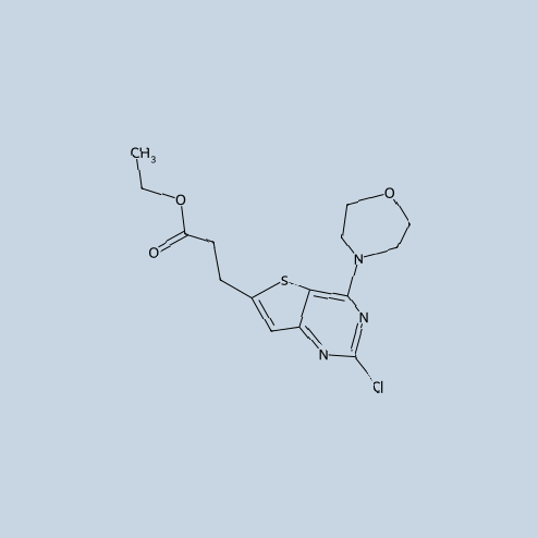 CCOC(=O)CCc1cc2nc(Cl)nc(N3CCOCC3)c2s1